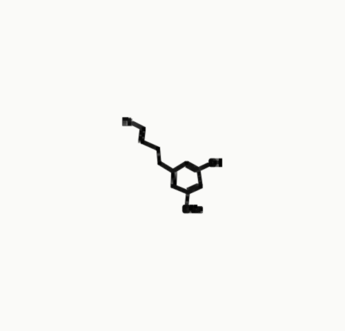 CCC=CCCc1cc(O)cc(OC)c1